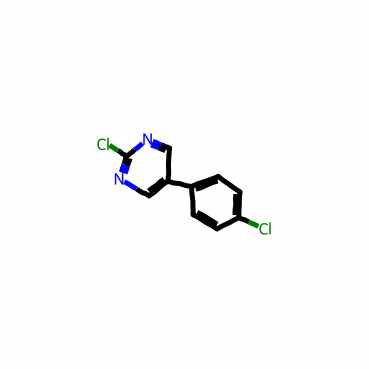 Clc1ccc(-c2cnc(Cl)nc2)cc1